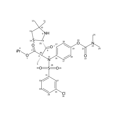 CC(C)OC(=O)[C@@](C)(C(=O)[C@H]1NC(C)(C)CS1)N(c1ccc(OC(=O)N(C)C)cc1)S(=O)(=O)c1cccc(Cl)c1